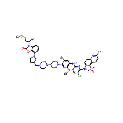 CCOc1cc(N2CCC(N3CCN(C[C@H]4CCN(c5cccc6c5oc(=O)n6C(CCC=O)C(C)=O)C4)CC3)CC2)c(CC)cc1Nc1ncc(Br)c(Nc2ccc3nc(CC)ccc3c2P(C)(C)=O)n1